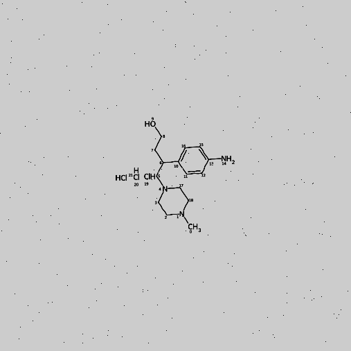 CN1CCN(CC(CCO)c2ccc(N)cc2)CC1.Cl.Cl.Cl